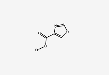 CCOC(=O)C1=COI=N1